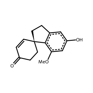 COc1cc(O)cc2c1[C@]1(C=CC(=O)CC1)CC2